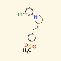 CS(=O)(=O)c1ccc(CCC2CCCN(c3cccc(Cl)c3)C2)cc1